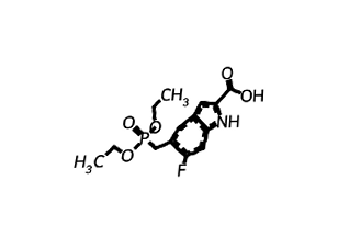 CCOP(=O)(Cc1cc2cc(C(=O)O)[nH]c2cc1F)OCC